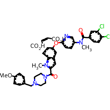 COc1ccc(CN2CCN(C(=O)c3cc4cc(Oc5ccc(N(C)C(=O)c6ccc(Cl)c(Cl)c6)cn5)ccc4n3C)CC2)cc1.O=C(O)/C=C\C(=O)O